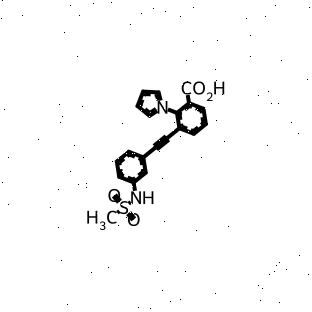 CS(=O)(=O)Nc1cccc(C#Cc2cccc(C(=O)O)c2-n2cccc2)c1